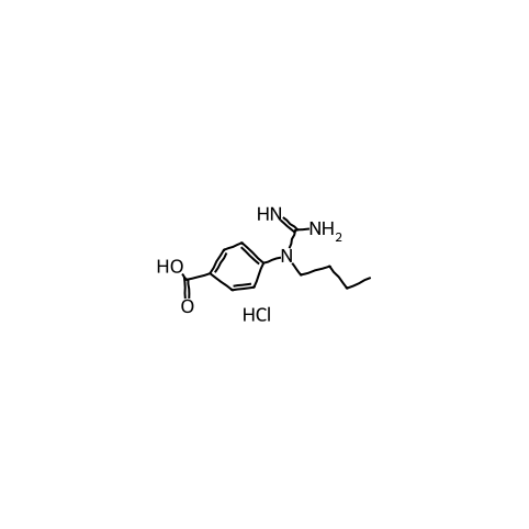 CCCCN(C(=N)N)c1ccc(C(=O)O)cc1.Cl